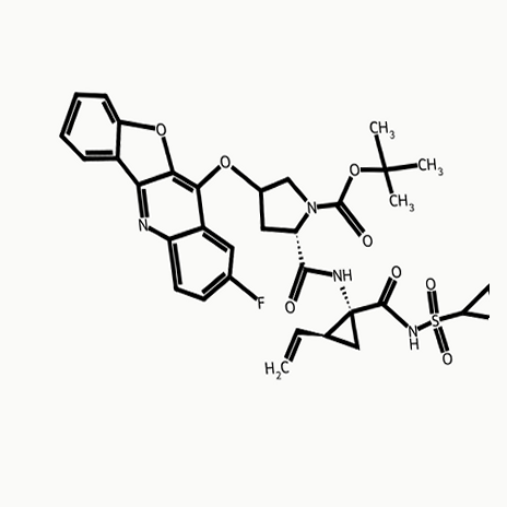 C=C[C@@H]1C[C@]1(NC(=O)[C@@H]1CC(Oc2c3cc(F)ccc3nc3c2oc2ccccc23)CN1C(=O)OC(C)(C)C)C(=O)NS(=O)(=O)C1CC1